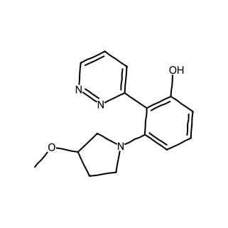 COC1CCN(c2cccc(O)c2-c2cccnn2)C1